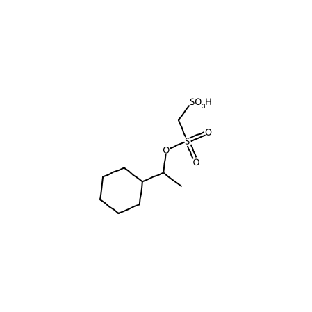 CC(OS(=O)(=O)CS(=O)(=O)O)C1CCCCC1